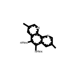 CCCCCCc1c(CCCCCC)c2cc(C)cnc2c2ncc(C)cc12